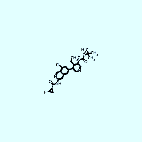 CCc1c(NC(=O)OC(C)(C)C)cncc1-c1cc(Cl)c2cnc(NC(=O)[C@@H]3C[C@@H]3F)cc2c1